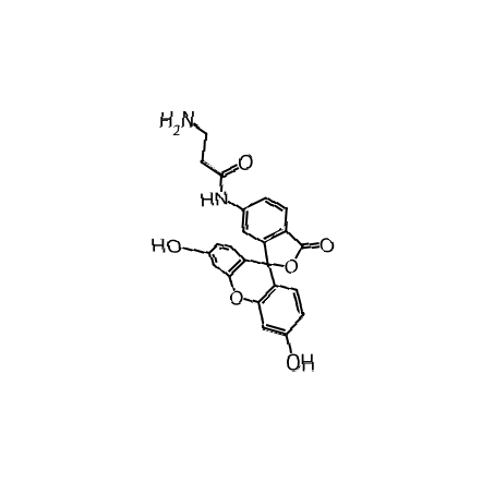 NCCC(=O)Nc1ccc2c(c1)C1(OC2=O)c2ccc(O)cc2Oc2cc(O)ccc21